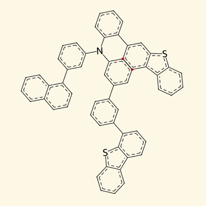 c1cc(-c2cccc(N(c3cccc(-c4cccc5ccccc45)c3)c3ccccc3-c3ccc4c(c3)sc3ccccc34)c2)cc(-c2cccc3c2sc2ccccc23)c1